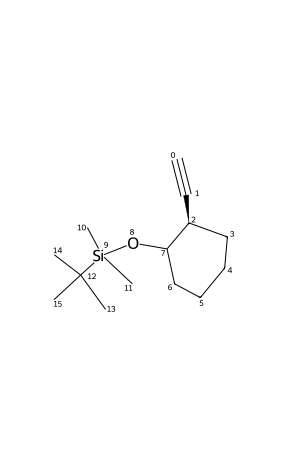 C#C[C@H]1CCCCC1O[Si](C)(C)C(C)(C)C